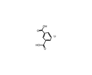 O=C(O)c1cccc(C(=O)O)c1.[Li]